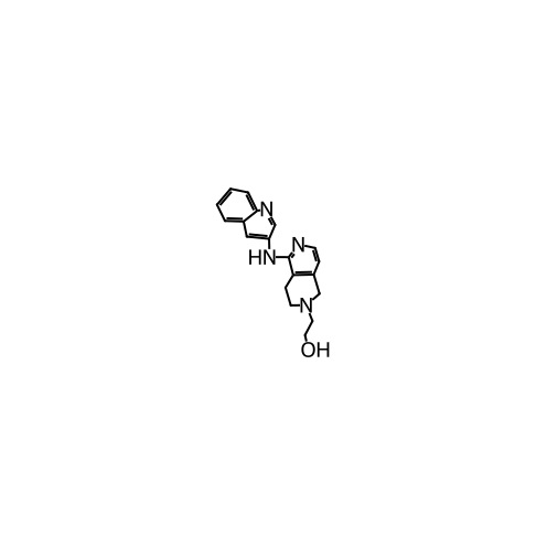 OCCN1CCc2c(ccnc2Nc2cnc3ccccc3c2)C1